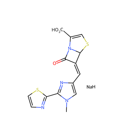 Cn1cc(C=C2C(=O)N3C(C(=O)O)=CSC23)nc1-c1nccs1.[NaH]